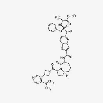 CCCOC(=O)[C@H](C)N[P@](=O)(Oc1ccccc1)[C@@H](F)c1ccc2sc(C(=O)N[C@H]3CCC[C@H]4CC[C@@H](C(=O)N5CC(c6cnccc6N(C)C)C5)N4C3=O)cc2c1